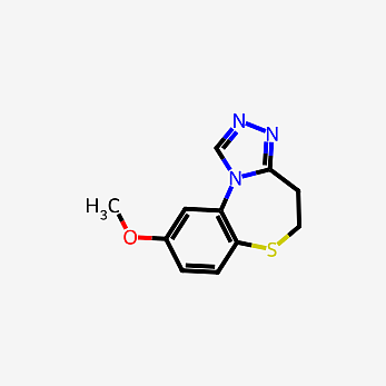 COc1ccc2c(c1)-n1cnnc1CCS2